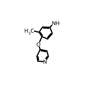 Cc1cc([NH])ccc1Oc1ccncc1